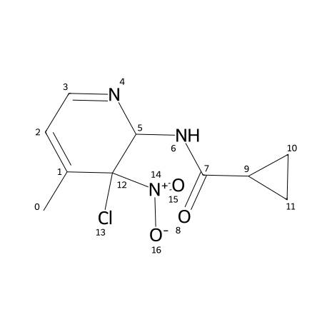 CC1=CC=NC(NC(=O)C2CC2)C1(Cl)[N+](=O)[O-]